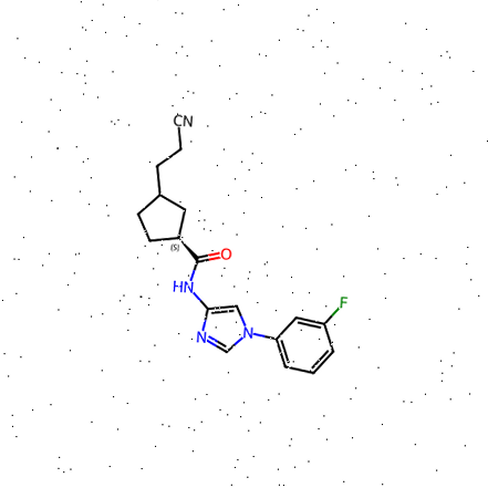 N#CCCC1CC[C@H](C(=O)Nc2cn(-c3cccc(F)c3)cn2)C1